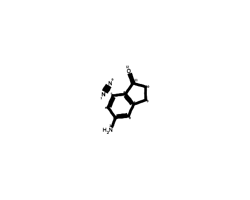 N#N.Nc1ccc2c(c1)CCC2=O